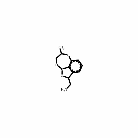 CC1COB2OC(CN)c3cccc(c32)O1